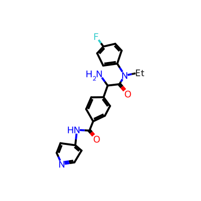 CCN(C(=O)C(N)c1ccc(C(=O)Nc2ccncc2)cc1)c1ccc(F)cc1